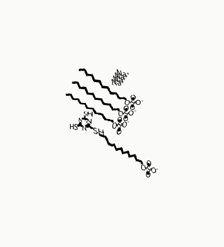 CCCCCCCCCCCCOS(=O)(=O)[O-].CCCCCCCCCCCCOS(=O)(=O)[O-].CCCCCCCCCCCCOS(=O)(=O)[O-].CCCCCCCCCCCCOS(=O)(=O)[O-].Sc1nc(S)nc(S)n1.[Na+].[Na+].[Na+].[Na+]